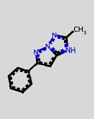 Cc1nn2nc(-c3ccccc3)cc2[nH]1